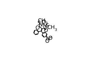 CSN1C(=O)C(=C(c2ccccc2)c2ccc([N+](=O)[O-])cc2)C(=O)N(SC)C1=O